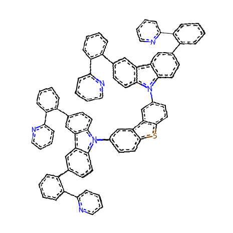 c1ccc(-c2ccccc2-c2ccc3c(c2)c2cc(-c4ccccc4-c4ccccn4)ccc2n3-c2ccc3sc4ccc(-n5c6ccc(-c7ccccc7-c7ccccn7)cc6c6cc(-c7ccccc7-c7ccccn7)ccc65)cc4c3c2)nc1